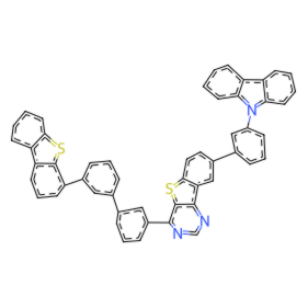 c1cc(-c2cccc(-c3ncnc4c3sc3ccc(-c5cccc(-n6c7ccccc7c7ccccc76)c5)cc34)c2)cc(-c2cccc3c2sc2ccccc23)c1